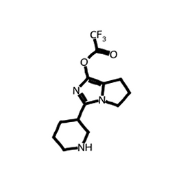 O=C(Oc1nc(C2CCCNC2)n2c1CCC2)C(F)(F)F